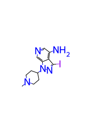 CN1CCC(n2nc(I)c3c(N)cncc32)CC1